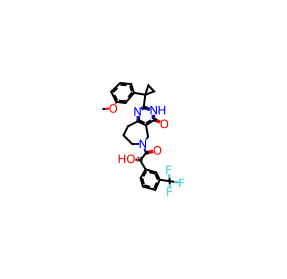 COc1cccc(C2(c3nc4c(c(=O)[nH]3)CN(C(=O)[C@H](O)c3cccc(C(F)(F)F)c3)CCC4)CC2)c1